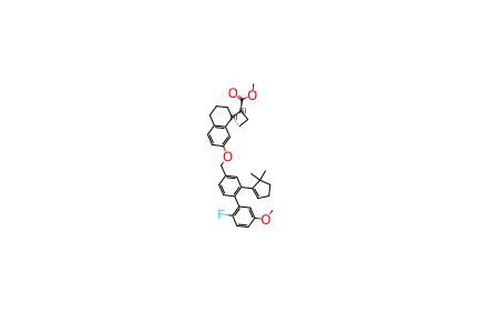 COC(=O)[C@H]1CC[C@]12CCCc1ccc(OCc3ccc(-c4cc(OC)ccc4F)c(C4=CCCC4(C)C)c3)cc12